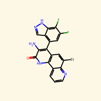 CCc1cc2c(-c3cc(F)c(F)c4[nH]ncc34)c(N)c(=O)[nH]c2c2cccnc12